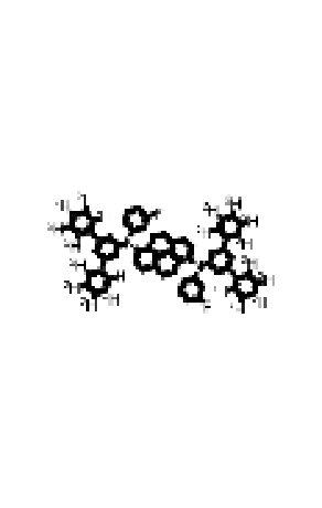 [2H]c1c([2H])c([2H])c(-c2cc(-c3c([2H])c([2H])c([2H])c([2H])c3[2H])cc(N(c3cccc(F)c3)c3ccc4ccc5c(N(c6cccc(F)c6)c6cc(-c7c([2H])c([2H])c([2H])c([2H])c7[2H])cc(-c7c([2H])c([2H])c([2H])c([2H])c7[2H])c6)ccc6ccc3c4c65)c2)c([2H])c1[2H]